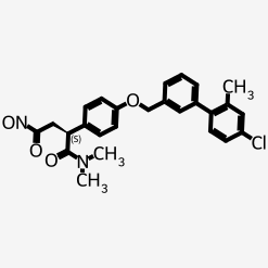 Cc1cc(Cl)ccc1-c1cccc(COc2ccc([C@H](CC(=O)N=O)C(=O)N(C)C)cc2)c1